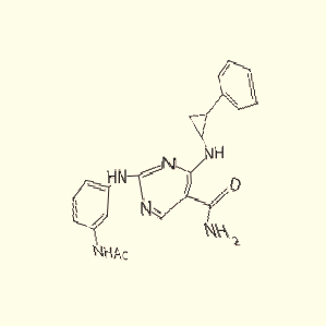 CC(=O)Nc1cccc(Nc2ncc(C(N)=O)c(NC3CC3c3ccccc3)n2)c1